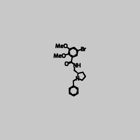 COc1cc(Br)cc(C(=O)NC[C@H]2CCCN2Cc2ccccc2)c1OC